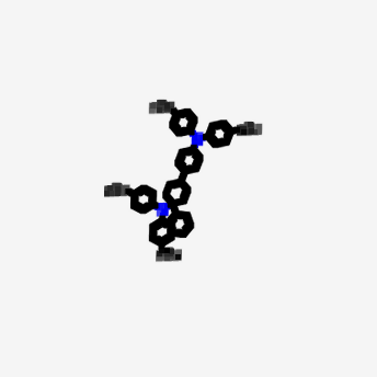 CCCCc1ccc(N(c2ccc(CCCC)cc2)c2ccc(C3=CCC(c4ccccc4)(N(c4ccc(CCCC)cc4)c4ccc(CCCC)cc4)C=C3)cc2)cc1